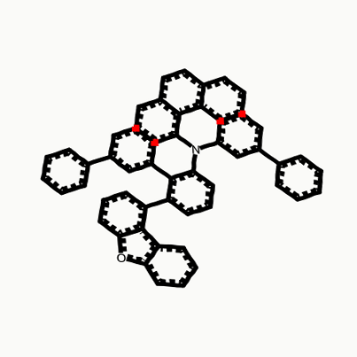 c1ccc(-c2cccc(-c3c(-c4cccc5oc6ccccc6c45)cccc3N(c3cccc(-c4ccccc4)c3)c3cccc4ccc5ccccc5c34)c2)cc1